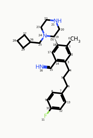 Cc1cc(CCCc2ccc(F)cc2)c(C=N)cc1[C@H]1CNCCN1CC1CCC1